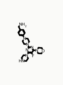 NCc1ccc(N2CCN(c3nc(N4CCNCC4)c(F)c(N4CCOCC4)n3)CC2)cc1